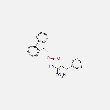 O=C(N[C@@H](CCc1ccccc1)C(=O)O)OCC1c2ccccc2-c2ccccc21